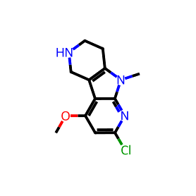 COc1cc(Cl)nc2c1c1c(n2C)CCNC1